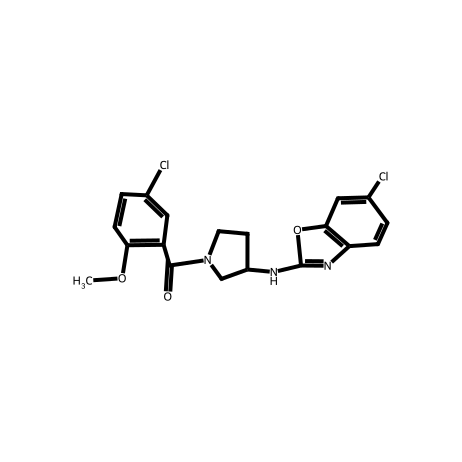 COc1ccc(Cl)cc1C(=O)N1CCC(Nc2nc3ccc(Cl)cc3o2)C1